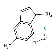 C[C]1C=Cc2cc(C)ccc21.[Cl][Zr][Cl]